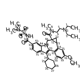 CCN(CC)CCN(C)C(=O)C12CC1c1cc(OC)ccc1-c1c(C3CCCCC3)c3ccc(C(=O)NS(=O)(=O)N(C)C)cc3n1C2